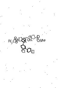 COC(=O)C1CCN(CC(O)Cn2nc(-c3ccc(Cl)c(-c4ccc(Cl)cc4)c3)c3c2CCN(S(C)(=O)=O)C3)CC1